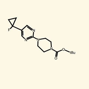 CC(C)(C)OC(=O)N1CCN(c2ncc(C3(F)CC3)cn2)CC1